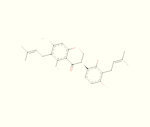 COc1cc2c(c(OC)c1CC=C(C)C)C(=O)[C@H](c1ccc(O)c(CC=C(C)C)c1O)CO2